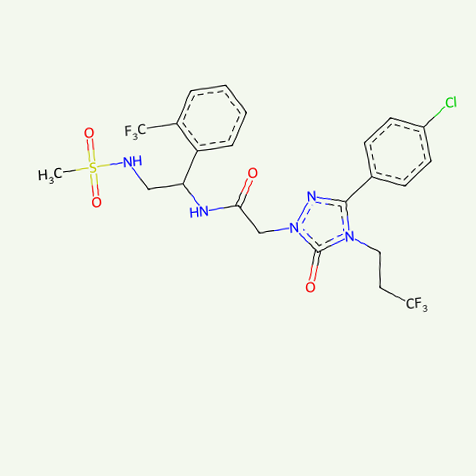 CS(=O)(=O)NCC(NC(=O)Cn1nc(-c2ccc(Cl)cc2)n(CCC(F)(F)F)c1=O)c1ccccc1C(F)(F)F